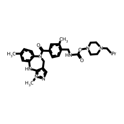 Cc1ccc2c(c1)Nc1c(cnn1C)CN2C(=O)c1ccc(CNC(=O)ON2CCN(CC(C)C)CC2)c(C)c1